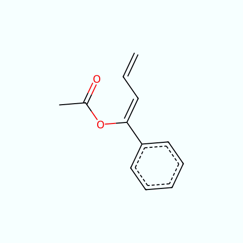 C=CC=C(OC(C)=O)c1ccccc1